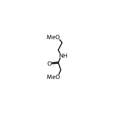 COCCNC(=O)COC